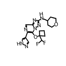 FC(F)C1(Oc2c(-c3cn[nH]c3)ncc3nc(NC4CCOCC4)nn23)CCC1